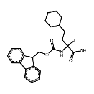 O=C(NC(I)(CCC1CCCCC1)C(=O)O)OCC1c2ccccc2-c2ccccc21